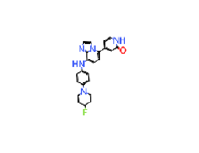 O=c1cc(-c2ccc(Nc3ccc(N4CCC(F)CC4)cc3)c3nccn23)cc[nH]1